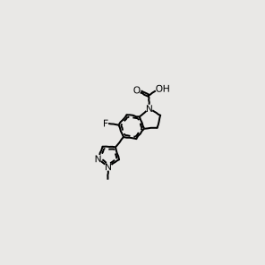 Cn1cc(-c2cc3c(cc2F)N(C(=O)O)CC3)cn1